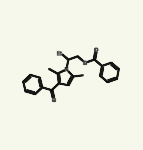 CCC(COC(=O)c1ccccc1)n1c(C)cc(C(=O)c2ccccc2)c1C